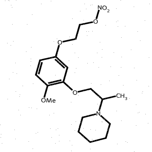 COc1ccc(OCCO[N+](=O)[O-])cc1OCC(C)N1CCCCC1